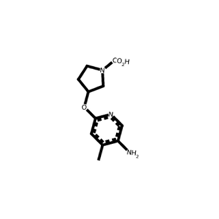 Cc1cc(OC2CCN(C(=O)O)C2)ncc1N